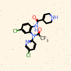 O=C(Nc1ccc(Cl)cc1N(C(=O)C(F)(F)F)c1ccc(Cl)cn1)C1=CCNCC1